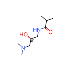 CC(C)C(=O)NC[C@H](O)CN(C)C